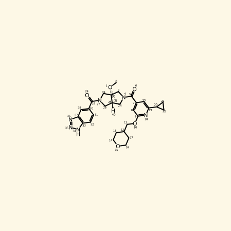 CO[C@]12CN(C(=O)c3cc(OCC4CCOCC4)nc(C4CC4)c3)C[C@@H]1CN(C(=O)c1ccc3[nH]nnc3c1)C2